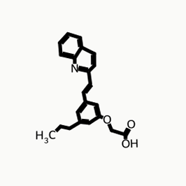 CCCc1cc(C=Cc2ccc3ccccc3n2)cc(OCC(=O)O)c1